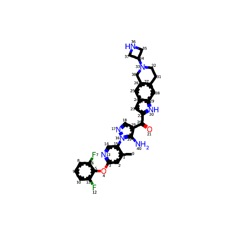 Cc1cc(Oc2c(F)cccc2F)ncc1-n1ncc(C(=O)c2cc3cc4c(cc3[nH]2)CCN(C2CNC2)C4)c1N